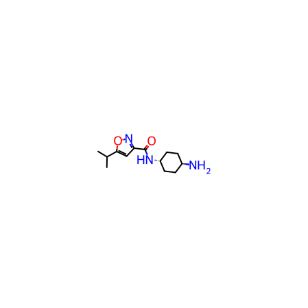 CC(C)c1cc(C(=O)N[C@H]2CC[C@H](N)CC2)no1